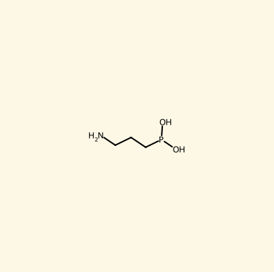 NCCCP(O)O